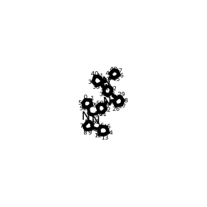 c1ccc(-c2nc3cccc(-c4ccccc4)c3nc2-c2ccc(-n3c4ccccc4c4cc5c(cc43)c3ccccc3n5-c3ccccc3)cc2)cc1